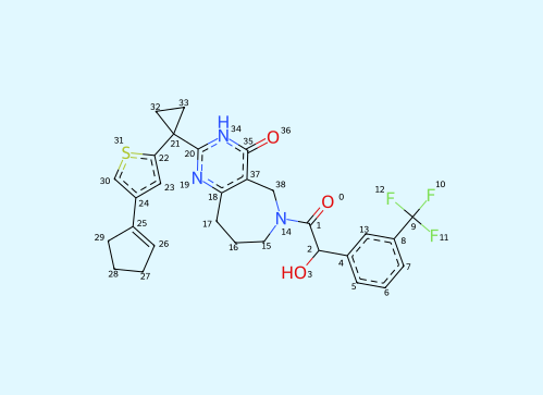 O=C(C(O)c1cccc(C(F)(F)F)c1)N1CCCc2nc(C3(c4cc(C5=CCCC5)cs4)CC3)[nH]c(=O)c2C1